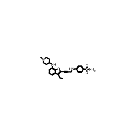 CCc1c(C#CCNc2ccc(S(N)(=O)=O)cc2)oc2c(NC3CCN(C)CC3)cccc12